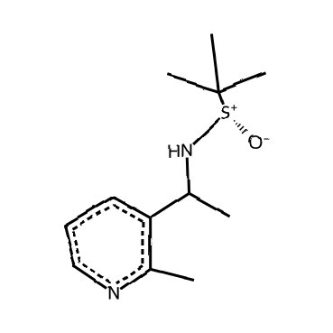 Cc1ncccc1C(C)N[S@@+]([O-])C(C)(C)C